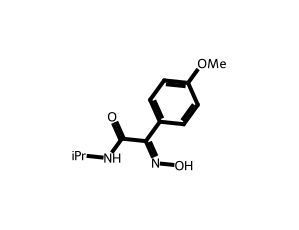 COc1ccc(/C(=N\O)C(=O)NC(C)C)cc1